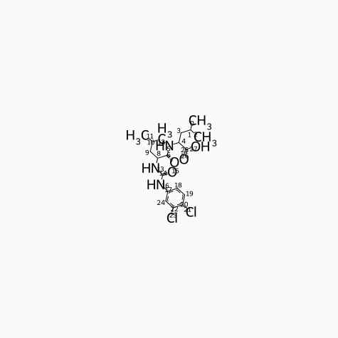 CC(C)CC(NC(=O)C(CC(C)C)NC(=O)Nc1ccc(Cl)c(Cl)c1)C(=O)O